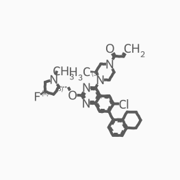 C=CC(=O)N1CCN(c2nc(OC[C@@H]3C[C@@H](F)CN3C)nc3cc(-c4cccc5c4CCCC5)c(Cl)cc23)[C@@H](C)C1